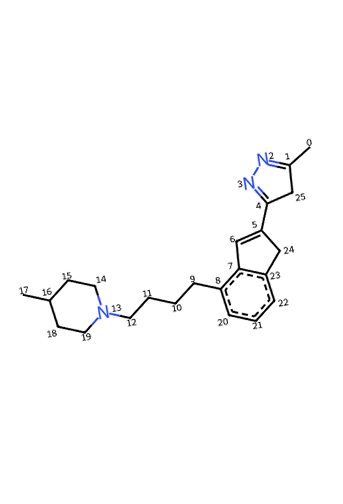 CC1=NN=C(C2=Cc3c(CCCCN4CCC(C)CC4)cccc3C2)C1